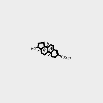 C[C@]12CCC(C(=O)O)=CC1=CC[C@@H]1[C@@H]2CC[C@]2(C)C(O)CC[C@@H]12